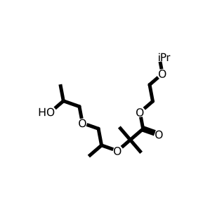 CC(O)COCC(C)OC(C)(C)C(=O)OCCOC(C)C